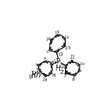 [Rh].c1ccc([PH2](c2ccccc2)c2ccccc2)cc1